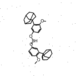 COc1ccc(OBOc2ccc(OC)c(C34CC5CC(CC(C5)C3)C4)c2)cc1C12CC3CC(CC(C3)C1)C2